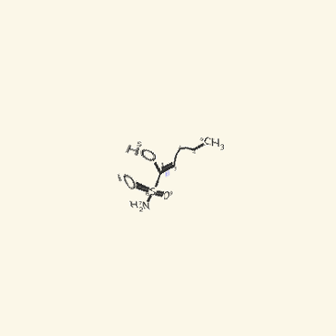 CCC/C=C(\O)S(N)(=O)=O